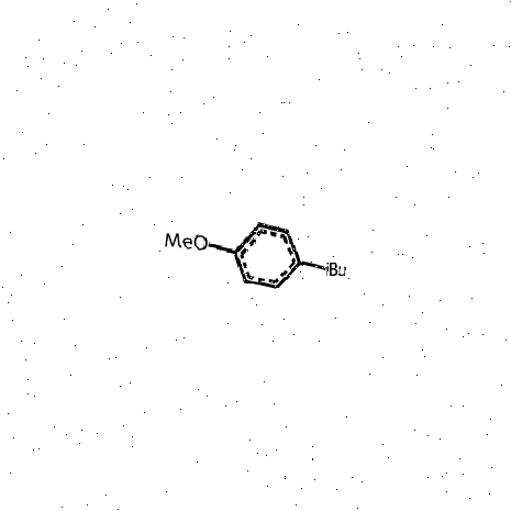 [CH2]CC(C)c1ccc(OC)cc1